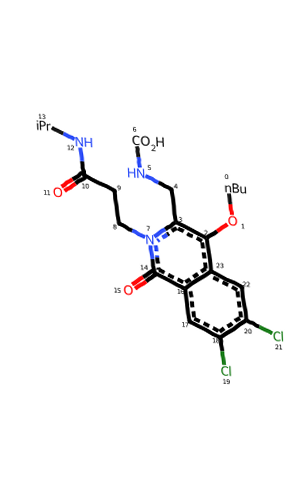 CCCCOc1c(CNC(=O)O)n(CCC(=O)NC(C)C)c(=O)c2cc(Cl)c(Cl)cc12